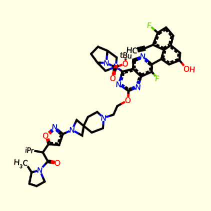 C#Cc1c(F)ccc2cc(O)cc(-c3ncc4c(N5CC6CCC(C5)N6C(=O)OC(C)(C)C)nc(OCCN5CCC6(CC5)CN(c5cc(C(C(=O)N7CCCC7C)C(C)C)on5)C6)nc4c3F)c12